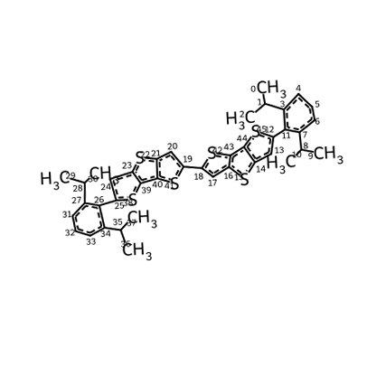 CC(C)c1cccc(C(C)C)c1-c1cc2sc3cc(-c4cc5sc6cc(-c7c(C(C)C)cccc7C(C)C)sc6c5s4)sc3c2s1